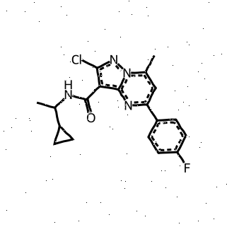 Cc1cc(-c2ccc(F)cc2)nc2c(C(=O)NC(C)C3CC3)c(Cl)nn12